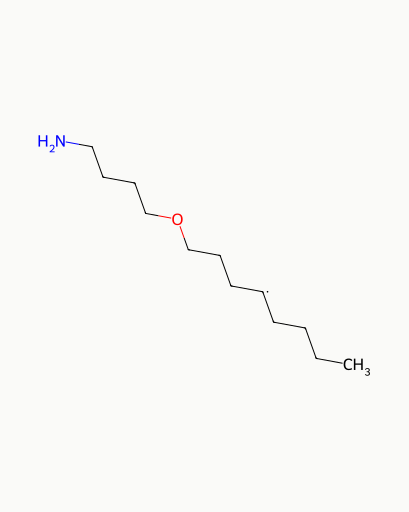 CCCC[CH]CCCOCCCCN